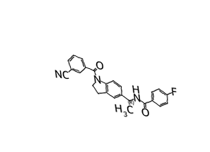 C[C@@H](NC(=O)c1ccc(F)cc1)c1ccc2c(c1)CCN2C(=O)c1cccc(C#N)c1